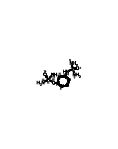 NP(N)(=O)Nc1cccc(OP(N)(N)=O)c1